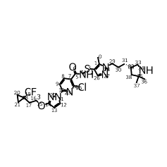 Cc1c(SNC(=O)c2ccc(-n3ccc(OCCC4(C(F)(F)F)CC4)n3)nc2Cl)cnn1CCC[C@@H]1CNC(C)(C)C1